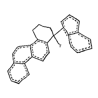 FC1(c2cccc3ccccc23)CCCc2c1ccc1c2ccc2ccccc21